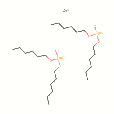 CCCCCCOP([O-])(=S)OCCCCCC.CCCCCCOP([O-])(=S)OCCCCCC.[Zn+2]